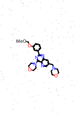 COCOc1cccc(-c2nc(N3CCOCC3)c3ncc(CN4CCOCC4)cc3n2)c1